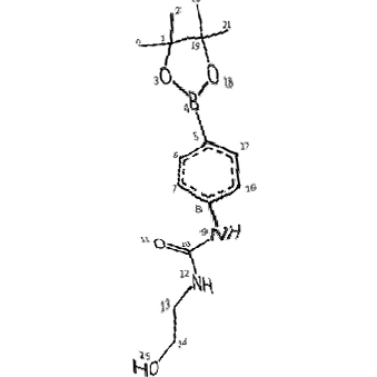 CC1(C)OB(c2ccc(NC(=O)NCCO)cc2)OC1(C)C